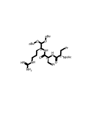 CCCCOC(OCCCC)[C@H](CCCNC(=N)N)NC(=O)[C@H](CC(C)C)NC(=O)[C@H](CC(C)C)NC(C)=O